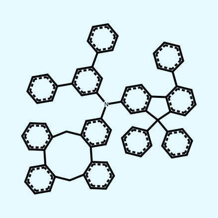 c1ccc(-c2cc(-c3ccccc3)cc(N(c3ccc4c(c3)Cc3ccccc3-c3ccccc3Cc3ccccc3-4)c3ccc4c(c3)C(c3ccccc3)(c3ccccc3)c3cccc(-c5ccccc5)c3-4)c2)cc1